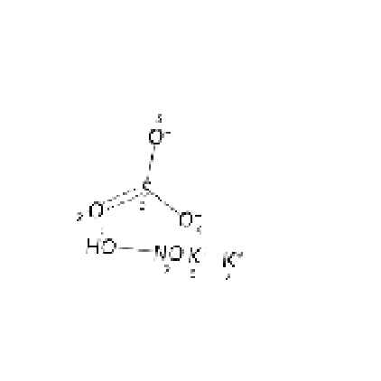 O=NO.O=S([O-])[O-].[K+].[K+]